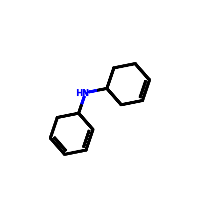 C1=CCC(NC2CC=CCC2)C=C1